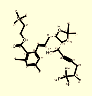 Cc1cc(C)c(C(=O)OCC[Si](C)(C)C)c(/C=C/C[C@@H]2OC(C)(C)O[C@@H]2C(O)C#CC[C@@H](C)C(F)(F)F)c1